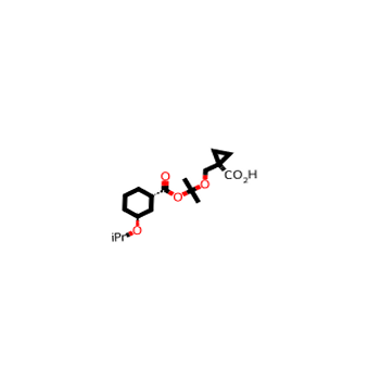 CC(C)O[C@H]1CCC[C@H](C(=O)OC(C)(C)OCC2(C(=O)O)CC2)C1